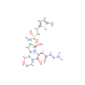 CN(C)C=NC(=O)C[C@@H](C(=O)N1CCOCC1)N1CC[C@H](N(C)S(=O)(=O)CCc2ccc(Cl)s2)C1=O